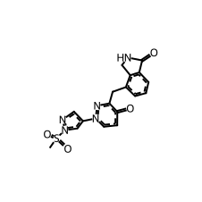 CS(=O)(=O)n1cc(-n2ccc(=O)c(Cc3cccc4c3CNC4=O)n2)cn1